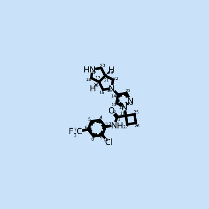 O=C(Nc1ccc(C(F)(F)F)cc1Cl)C1(n2cc(N3C[C@H]4CNC[C@H]4C3)cn2)CCC1